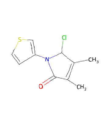 CC1=C(C)C(Cl)N(c2ccsc2)C1=O